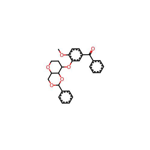 COc1ccc(C(=O)c2ccccc2)cc1OC1CCOC2COC(c3ccccc3)OC21